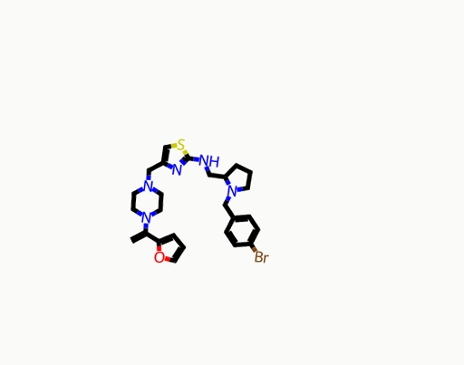 C=C(c1ccco1)N1CCN(Cc2csc(NCC3CCCN3Cc3ccc(Br)cc3)n2)CC1